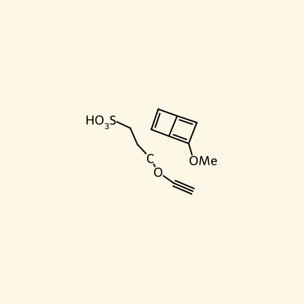 C#COCCCS(=O)(=O)O.COc1cc2ccc1-2